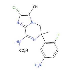 CC1(c2cc(N)ccc2F)Cn2c(nc(Cl)c2C#N)C(NC(=O)O)=N1